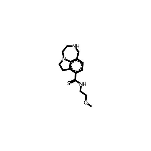 COCCNC(=S)c1ccc2c3c1CCN3CCNC2